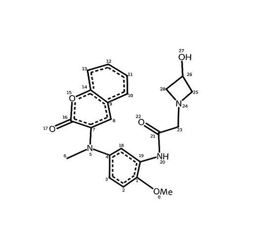 COc1ccc(N(C)c2cc3ccccc3oc2=O)cc1NC(=O)CN1CC(O)C1